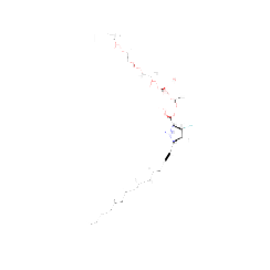 CCCCCCCCCCCCC#Cc1cc(F)c(C(=O)OC(C)OC(=O)OCCOCCOCC)[nH]1